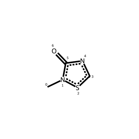 Cn1s[c]nc1=O